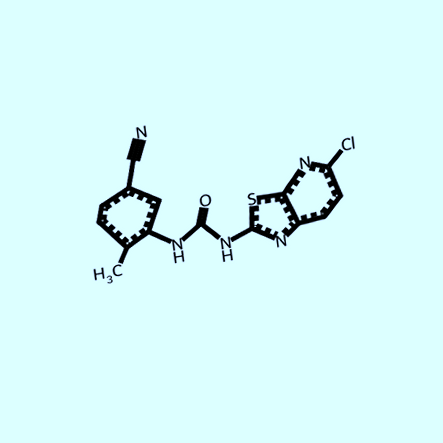 Cc1ccc(C#N)cc1NC(=O)Nc1nc2ccc(Cl)nc2s1